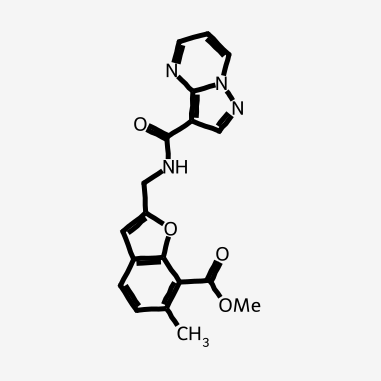 COC(=O)c1c(C)ccc2cc(CNC(=O)c3cnn4cccnc34)oc12